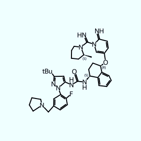 C[C@H]1CCCCN1C(=N)n1cc(O[C@@H]2CC[C@H](NC(=O)Nc3cc(C(C)(C)C)nn3-c3cc(CN4CCCC4)ccc3F)c3ccccc32)ccc1=N